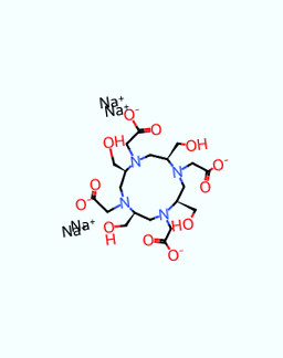 O=C([O-])CN1C[C@@H](CO)N(CC(=O)[O-])C[C@@H](CO)N(CC(=O)[O-])C[C@@H](CO)N(CC(=O)[O-])C[C@H]1CO.[Na+].[Na+].[Na+].[Na+]